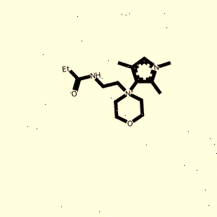 CCC(=O)NCC[N+]1(c2c(C)cn(C)c2C)CCOCC1